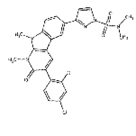 CN(C)S(=O)(=O)n1ccc(-c2ccc3c(c2)c2cc(-c4ccc(Cl)cc4Cl)c(=O)n(C)c2n3C)n1